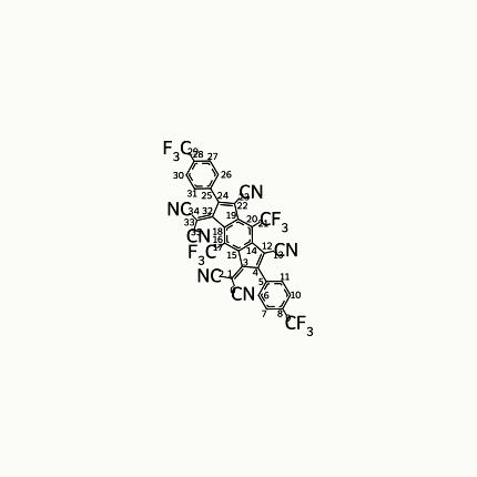 N#CC(C#N)=C1C(c2ccc(C(F)(F)F)cc2)=C(C#N)c2c1c(C(F)(F)F)c1c(c2C(F)(F)F)C(C#N)=C(c2ccc(C(F)(F)F)cc2)C1=C(C#N)C#N